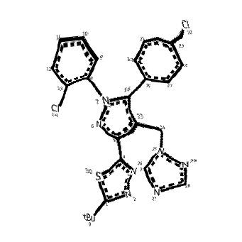 CC(C)(C)c1nnc(-c2nn(-c3ccccc3Cl)c(-c3ccc(Cl)cc3)c2Cn2cncn2)s1